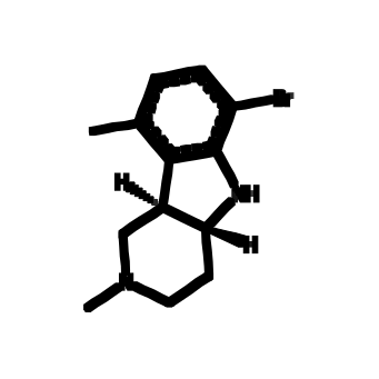 Cc1ccc(Br)c2c1[C@@H]1CN(C)CC[C@H]1N2